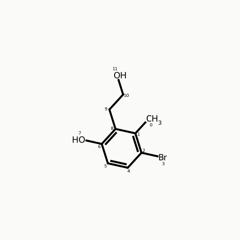 Cc1c(Br)ccc(O)c1CCO